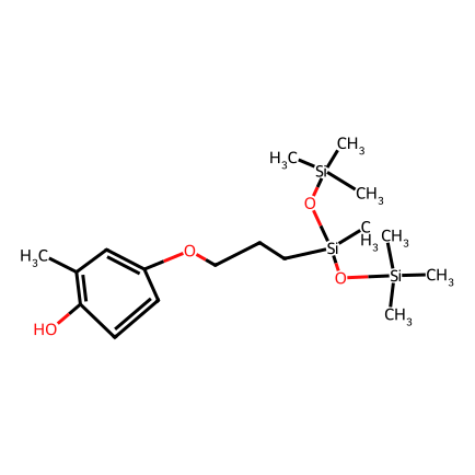 Cc1cc(OCCC[Si](C)(O[Si](C)(C)C)O[Si](C)(C)C)ccc1O